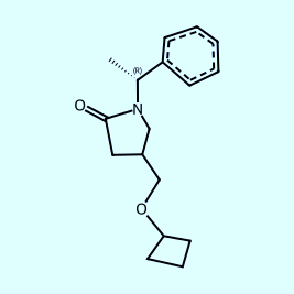 C[C@H](c1ccccc1)N1CC(COC2CCC2)CC1=O